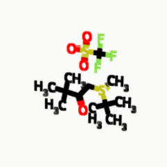 C[S+](CC(=O)C(C)(C)C)C(C)(C)C.O=S(=O)([O-])C(F)(F)F